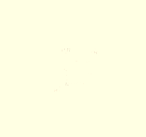 CC1CCN(C)C=C1N